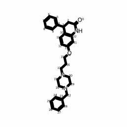 O=C1CC(c2ccccc2)c2ccc(OCCCN3CCN(Cc4ccccc4)CC3)cc2N1